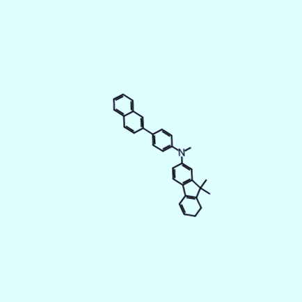 CN(c1ccc(-c2ccc3ccccc3c2)cc1)c1ccc2c(c1)C(C)(C)C1=C2C=CCC1